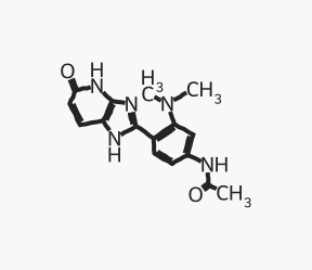 CC(=O)Nc1ccc(-c2nc3[nH]c(=O)ccc3[nH]2)c(N(C)C)c1